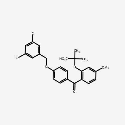 COc1ccc(C(=O)c2ccc(OCc3cc(Cl)cc(Cl)c3)cc2)c(OC(C)(C)C(=O)O)c1